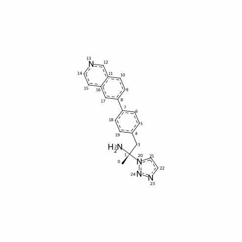 C[C@@](N)(Cc1ccc(-c2ccc3cnccc3c2)cc1)n1ccnn1